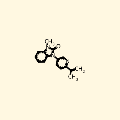 C=C(C)c1ccc(-n2c(=O)n(C)c3ccccc32)cn1